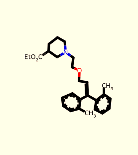 CCOC(=O)C1CCCN(CCOCC=C(c2ccccc2C)c2ccccc2C)C1